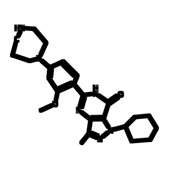 COc1cc(N2CCCNCC2)ccc1-c1nc2c(C)nn(C3CCCCC3)c2c(=O)[nH]1